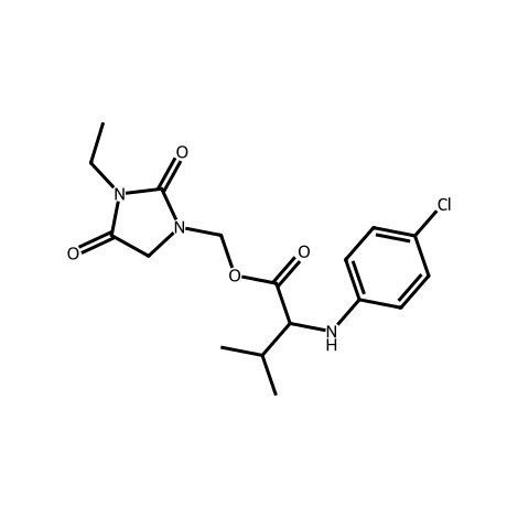 CCN1C(=O)CN(COC(=O)C(Nc2ccc(Cl)cc2)C(C)C)C1=O